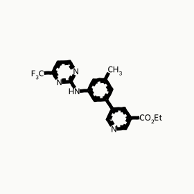 CCOC(=O)c1cncc(-c2cc(C)cc(Nc3nccc(C(F)(F)F)n3)c2)c1